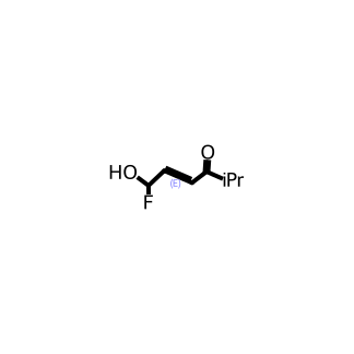 CC(C)C(=O)/C=C/C(O)F